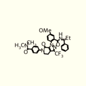 CC[C@H](NC(=O)c1cc(OC)ccc1-n1nc(C(F)(F)F)c2c1C(=O)N(c1ccc(C(=O)N(C)C)cc1)CC2)c1ccccc1